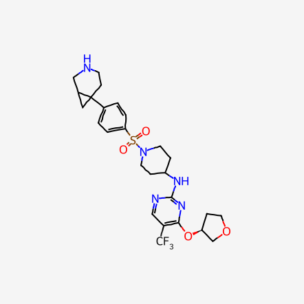 O=S(=O)(c1ccc(C23CCNCC2C3)cc1)N1CCC(Nc2ncc(C(F)(F)F)c(O[C@H]3CCOC3)n2)CC1